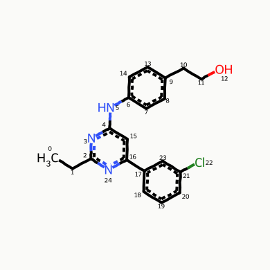 CCc1nc(Nc2ccc(CCO)cc2)cc(-c2cccc(Cl)c2)n1